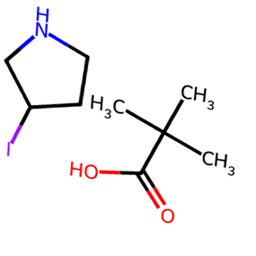 CC(C)(C)C(=O)O.IC1CCNC1